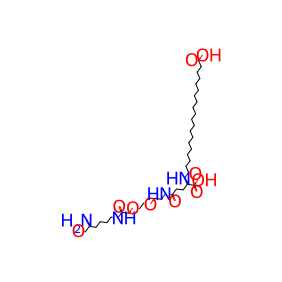 N[C@H](C=O)CCCCNC(=O)COCCOCCNC(=O)CCC(NC(=O)CCCCCCCCCCCCCCCCCCC(=O)O)C(=O)O